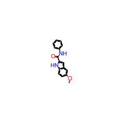 COc1ccc2[nH]c(C(=O)Nc3ccccc3)cc2c1